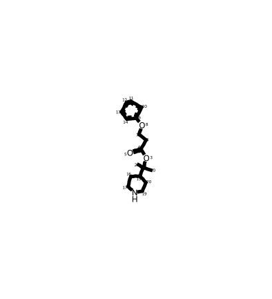 CC(C)(OC(=O)CCOc1ccccc1)C1CCNCC1